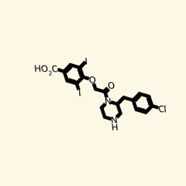 O=C(O)c1cc(I)c(OCC(=O)N2CCNCC2Cc2ccc(Cl)cc2)c(I)c1